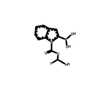 CCCC(F)OC(=O)n1c(B(O)O)cc2ccccc21